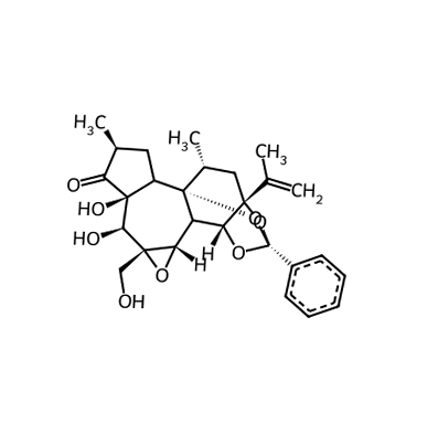 C=C(C)[C@]12C[C@@H](C)[C@@]34O[C@](c5ccccc5)(O[C@@H]1C3[C@@H]1O[C@]1(CO)[C@@H](O)[C@]1(O)C(=O)[C@@H](C)CC41)O2